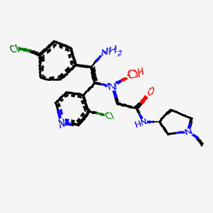 CN1CC[C@H](NC(=O)CN(O)/C(=C(\N)c2ccc(Cl)cc2)c2ccncc2Cl)C1